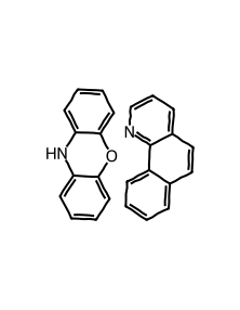 c1ccc2c(c1)Nc1ccccc1O2.c1ccc2c(c1)ccc1cccnc12